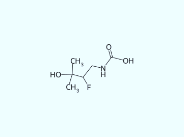 CC(C)(O)C(F)CNC(=O)O